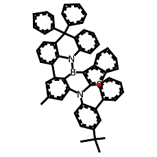 Cc1cc2c3c(c1)N(c1ccc(C(C)(C)C)cc1-c1ccccc1)c1oc4ccccc4c1B3N1c3ccccc3C(c3ccccc3)(c3ccccc3)c3cccc-2c31